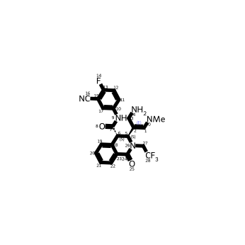 CN/C=C(\CN)[C@@H]1[C@@H](C(=O)Nc2ccc(F)c(C#N)c2)c2ccccc2C(=O)N1CC(F)(F)F